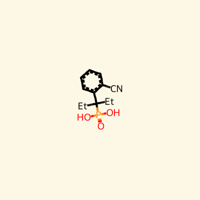 CCC(CC)(c1ccccc1C#N)P(=O)(O)O